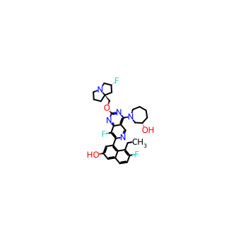 CCc1c(F)ccc2cc(O)cc(-c3ncc4c(N5CCCC[C@H](O)C5)nc(OC[C@@]56CCCN5C[C@H](F)C6)nc4c3F)c12